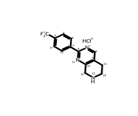 Cl.FC(F)(F)c1ccc(-c2ncc3c(n2)CNCC3)cc1